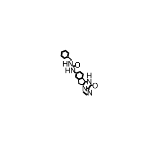 O=C(NCc1ccccc1)Nc1ccc2c(c1)Cc1c-2[nH]c(=O)c2nccn12